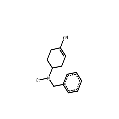 CCN(Cc1ccccc1)C1CC=C(C#N)CC1